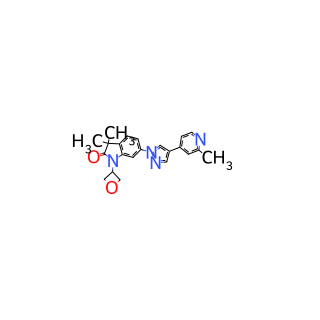 Cc1cc(-c2cnn(-c3ccc4c(c3)N(C3COC3)C(=O)C4(C)C)c2)ccn1